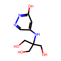 OCC(CO)(CO)Nc1cnnc(O)c1